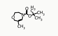 CC1=CN(C(=O)OC(C)(C)C)CCOC1